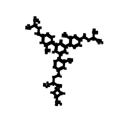 CC(O)COc1ccc(-c2nc(-c3ccc(OCC(C)O)cc3O)nc(-c3ccc(OCC(C)O)cc3O)n2)c(O)c1.CC1CCO1